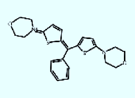 C1=C/C(=C(/c2ccccc2)c2ccc(N3CCOCC3)s2)SC1=[N+]1CCOCC1